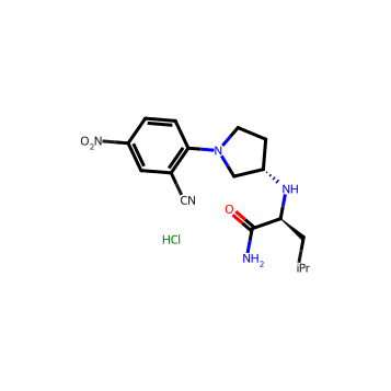 CC(C)C[C@H](N[C@H]1CCN(c2ccc([N+](=O)[O-])cc2C#N)C1)C(N)=O.Cl